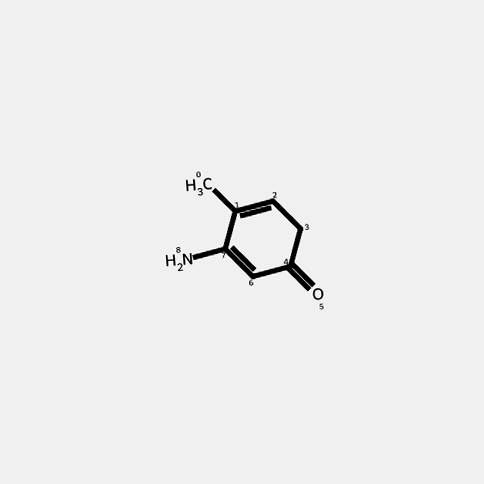 CC1=CCC(=O)C=C1N